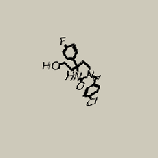 C[C@@H](c1ccc(Cl)cc1)N1CCC(CCO)(c2ccc(F)cc2)NC1=O